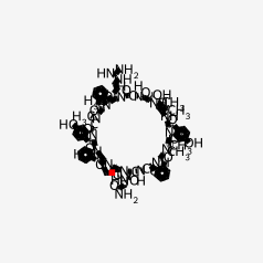 CC(C)C1NC(=O)[C@H](Cc2ccc(O)cc2)NC(=O)[C@H](C)N(C)C(=O)[C@H](Cc2ccccc2)NC(=O)CNC[C@@H](C(=O)NCC(N)=O)NC(=O)[C@@H]2CCCN2C(=O)[C@H](Cc2ccccc2)N(C)C(=O)[C@H](Cc2ccc(O)cc2)NC(=O)CN(C)C(=O)[C@H](Cc2ccccc2)N(C)C(=O)[C@H](CCCNC(=N)N)NC(=O)CNC(=O)[C@H](CO)NC1=O